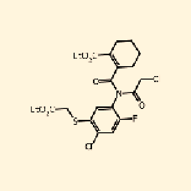 CCOC(=O)CSc1cc(N(C(=O)CCl)C(=O)C2=C(C(=O)OCC)CCCC2)c(F)cc1Cl